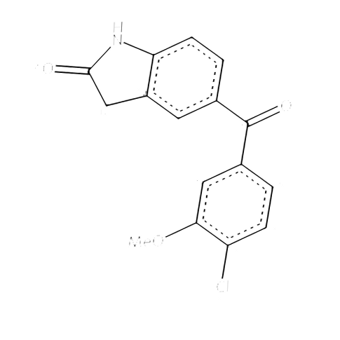 COc1cc(C(=O)c2ccc3c(c2)CC(=O)N3)ccc1Cl